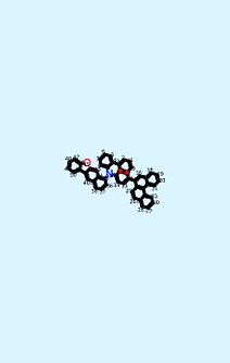 c1ccc(-c2ccccc2N(c2ccc(-c3cc4ccccc4c4c3ccc3ccccc34)cc2)c2cccc3cc4c(cc23)oc2ccccc24)cc1